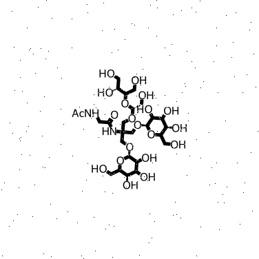 CC(=O)NCC(=O)NC(CO[C@@H](CO)OC(CO)[C@H](O)CO)(CO[C@@H]1OC(CO)[C@H](O)C(O)C1O)CO[C@@H]1OC(CO)[C@H](O)C(O)C1O